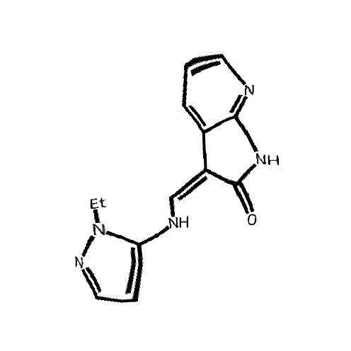 CCn1nccc1N/C=C1\C(=O)Nc2ncccc21